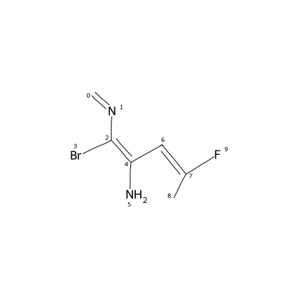 C=N/C(Br)=C(N)\C=C(/C)F